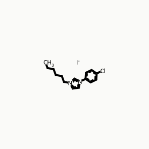 CCCCCC[n+]1ccn(-c2ccc(Cl)cc2)c1.[I-]